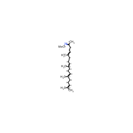 CO/N=C(/C)CC/C=C(\C)CC/C=C(\C)CC/C=C(\C)CCC=C(C)C